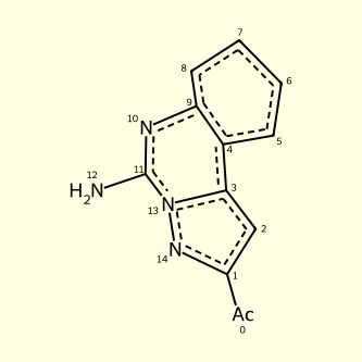 CC(=O)c1cc2c3ccccc3nc(N)n2n1